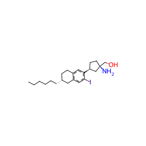 CCCCCC[C@@H]1CCc2cc([C@H]3CC[C@](N)(CO)C3)c(I)cc2C1